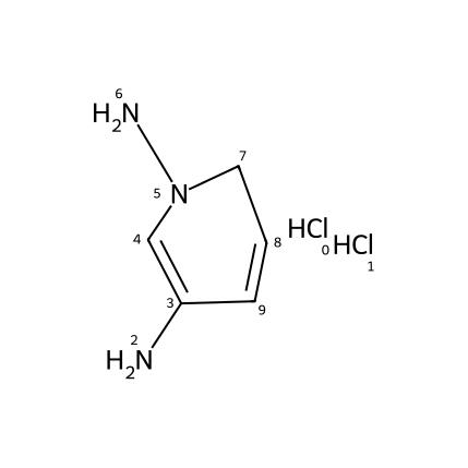 Cl.Cl.NC1=CN(N)CC=C1